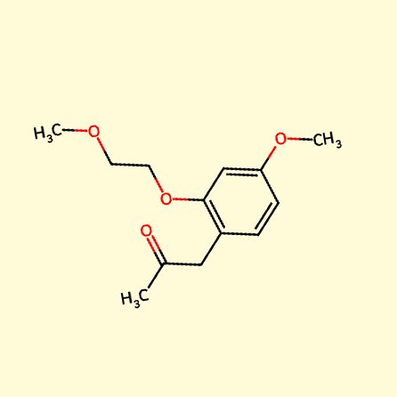 COCCOc1cc(OC)ccc1CC(C)=O